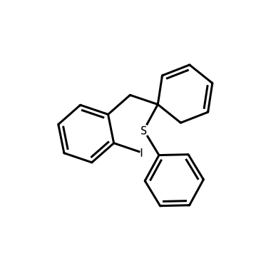 Ic1ccccc1CC1(Sc2ccccc2)C=CC=CC1